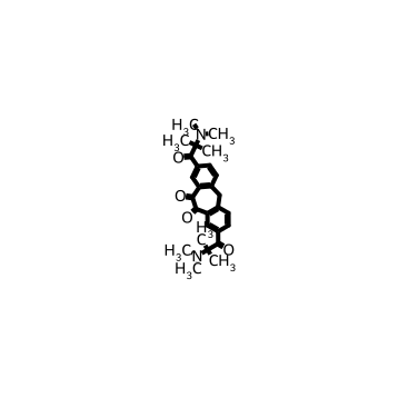 CN(C)C(C)(C)C(=O)c1ccc2c(c1)C(=O)C(=O)c1cc(C(=O)C(C)(C)N(C)C)ccc1C2